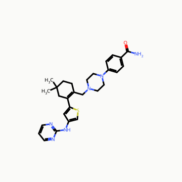 CC1(C)CCC(CN2CCN(c3ccc(C(N)=O)cc3)CC2)=C(c2cc(Nc3ncccn3)cs2)C1